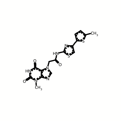 Cc1ccc(-c2csc(NC(=O)Cn3cnc4c3c(=O)[nH]c(=O)n4C)n2)s1